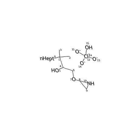 CCCCCCCC(C)(C)C(O)COC1CN1.[O-][Cl+3]([O-])([O-])O